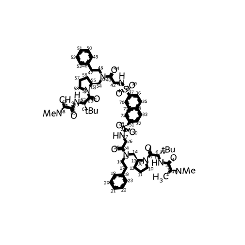 CN[C@@H](C)C(=O)N[C@H](C(=O)N1CCC[C@H]1CN(CCc1ccccc1)C(=O)CNS(=O)(=O)c1ccc2ccc(S(=O)(=O)NCC(=O)N(CCc3ccccc3)C[C@@H]3CCCN3C(=O)[C@@H](NC(=O)[C@H](C)NC)C(C)(C)C)cc2c1)C(C)(C)C